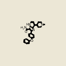 CN1CCC(C2CCNn3c2nc(-c2ccc(Oc4ccccc4)cc2)c3C(N)=O)CC1